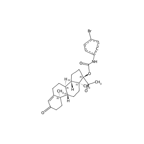 CC(=O)[C@@]1(OC(=O)Nc2ccc(Br)cc2)CC[C@H]2[C@@H]3CCC4=CC(=O)CC[C@]4(C)[C@H]3CC[C@@]21C